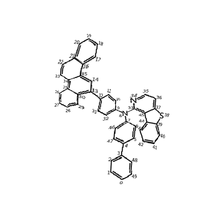 c1ccc(-c2ccc(N(c3ccc(-c4cc5c6ccccc6ccc5c5ccccc45)cc3)c3nccc4sc5ccccc5c34)cc2)cc1